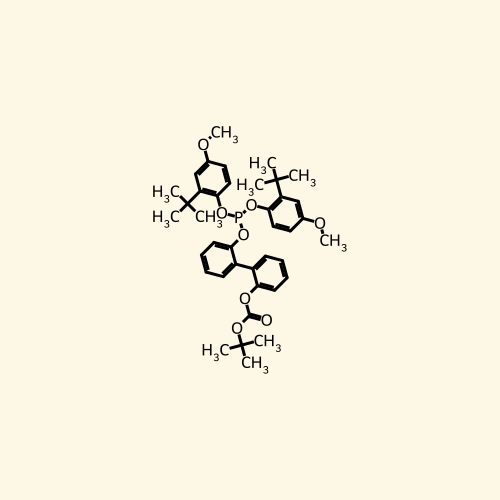 COc1ccc(OP(Oc2ccccc2-c2ccccc2OC(=O)OC(C)(C)C)Oc2ccc(OC)cc2C(C)(C)C)c(C(C)(C)C)c1